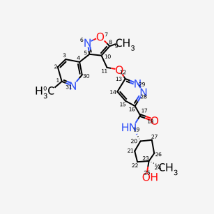 Cc1ccc(-c2noc(C)c2COc2ccc(C(=O)N[C@H]3CC[C@](C)(O)CC3)nn2)cn1